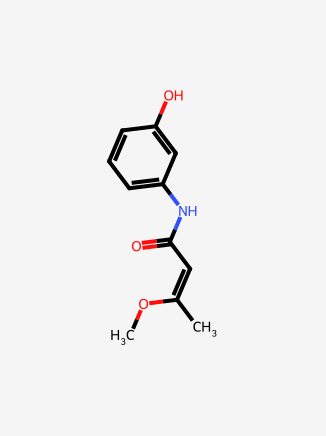 COC(C)=CC(=O)Nc1cccc(O)c1